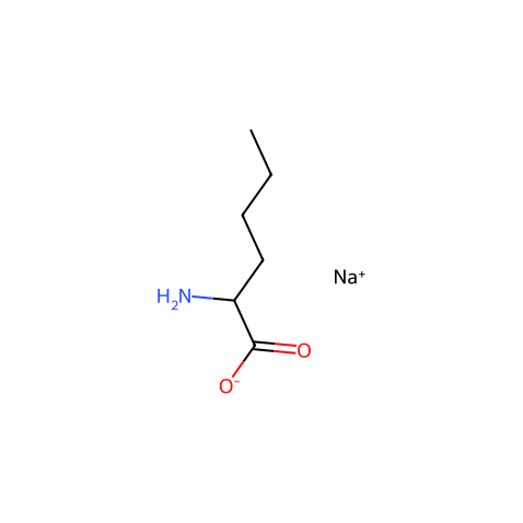 CCCCC(N)C(=O)[O-].[Na+]